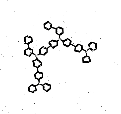 c1ccc(-c2cccc(N(c3ccc(-c4ccc(N(c5ccccc5)c5ccccc5)cc4)cc3)c3ccc(-c4ccc(N(c5ccc(-c6ccc(N(c7ccccc7)c7ccccc7)cc6)cc5)c5cccc(-c6ccccc6)c5)cc4)cc3)c2)cc1